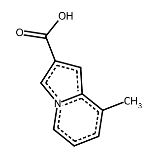 Cc1cccn2cc(C(=O)O)cc12